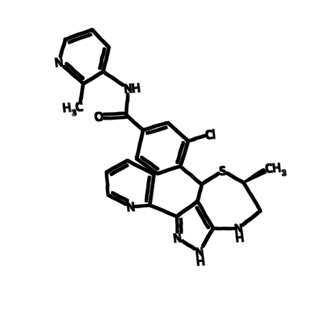 Cc1ncccc1NC(=O)c1ccc(C2S[C@@H](C)CNc3[nH]nc(-c4ccccn4)c32)c(Cl)c1